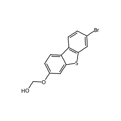 OCOc1ccc2c(c1)sc1cc(Br)ccc12